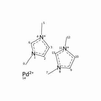 Cn1cc[n+](C)c1.Cn1cc[n+](C)c1.[Pd+2]